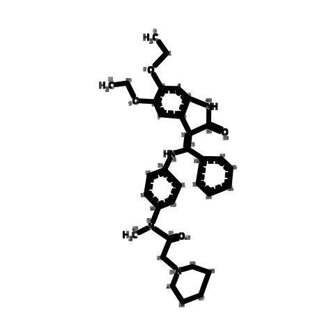 CCOc1cc2c(cc1OCC)C(=C(Nc1ccc(N(C)C(=O)CN3CCCCC3)cc1)c1ccccc1)C(=O)N2